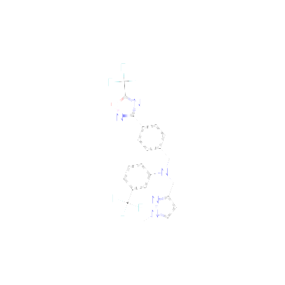 Cn1ccc(CN(Cc2ccc(-c3noc(C(F)(F)F)n3)cc2)c2cccc(C(F)(F)F)c2)n1